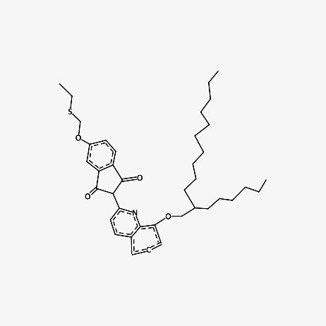 CCCCCCCCCCC(CCCCCC)COc1cccc2ccc(C3C(=O)c4ccc(OCSCC)cc4C3=O)nc12